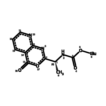 C[C@@H](NC(=O)OC(C)(C)C)c1nc2ncccc2c(=O)o1